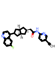 C#Cc1ccc(NC(=O)C[C@H]2C[C@H]3CC(c4ccnc5ccc(F)cc45)C[C@H]3C2)nc1